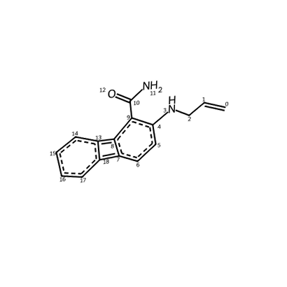 C=CCNc1ccc2c(c1C(N)=O)=c1ccccc1=2